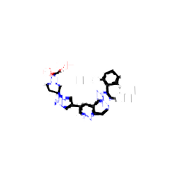 Cc1cccc(C)c1-c1nc2c3cc(-c4cnn(C5CCN(C(=O)CO)C5)c4)cnc3ccn2c1C